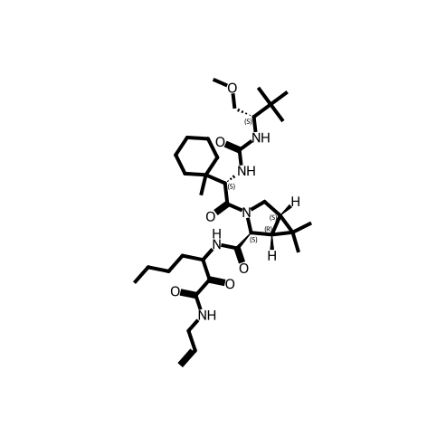 C=CCNC(=O)C(=O)C(CCCC)NC(=O)[C@@H]1[C@@H]2[C@H](CN1C(=O)[C@@H](NC(=O)N[C@H](COC)C(C)(C)C)C1(C)CCCCC1)C2(C)C